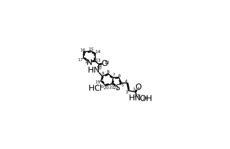 Cl.O=C(C=Cc1cc2cc(NC(=O)c3ccccn3)ccc2s1)NO